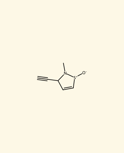 C#CC1C=C[S+]([O-])N1C